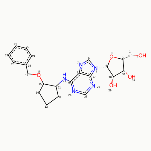 OC[C@H]1O[C@@H](n2cnc3c(NC4CCCC4OCc4ccccc4)ncnc32)[C@@H](O)[C@H]1O